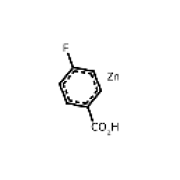 O=C(O)c1ccc(F)cc1.[Zn]